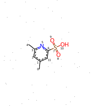 Cc1cc(C)nc(S(=O)(=O)O)c1